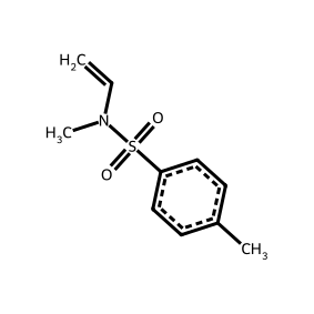 C=CN(C)S(=O)(=O)c1ccc(C)cc1